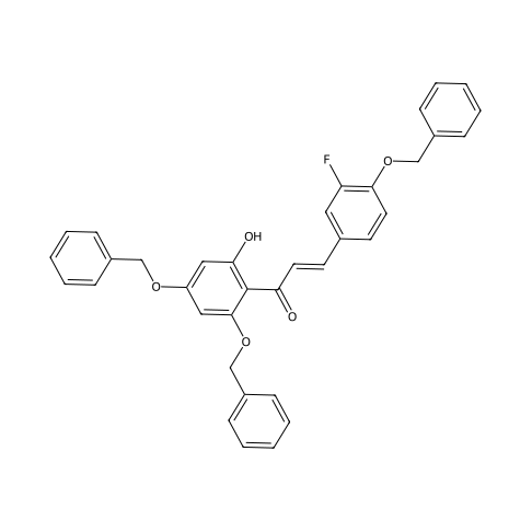 O=C(C=Cc1ccc(OCc2ccccc2)c(F)c1)c1c(O)cc(OCc2ccccc2)cc1OCc1ccccc1